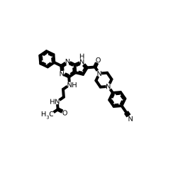 CC(=O)NCCNc1nc(-c2ccccc2)nc2[nH]c(C(=O)N3CCN(c4ccc(C#N)cc4)CC3)cc12